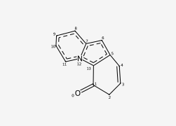 O=C1CC=Cc2cc3ccccn3c21